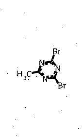 Cc1nc(Br)nc(Br)n1